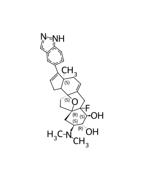 CN(C)[C@H]1C[C@@]23CC[C@@]4(O2)C(=CC[C@]2(C)C(c5ccc6[nH]ncc6c5)=CCC24)CC3(F)[C@@H](O)[C@@H]1O